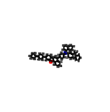 CC1(C)c2ccccc2-c2ccc(N(C3=CCCC4=C3C=CCC4)c3ccc(-c4cc5c6ccc(-c7ccc(-c8ccccc8)cc7)cc6oc5c5ccccc45)cc3)cc21